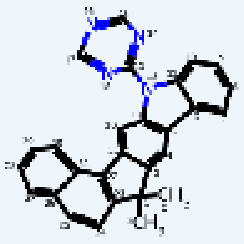 CC1(C)c2cc3c4ccccc4n(-c4ncncn4)c3cc2-c2c1ccc1ccccc21